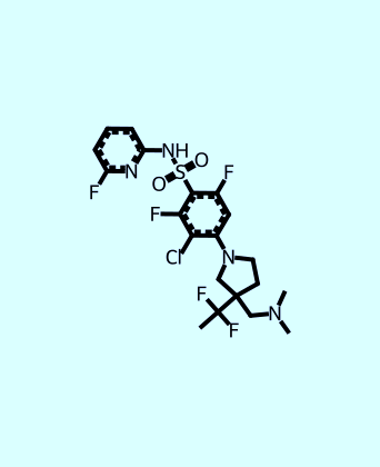 CN(C)CC1(C(C)(F)F)CCN(c2cc(F)c(S(=O)(=O)Nc3cccc(F)n3)c(F)c2Cl)C1